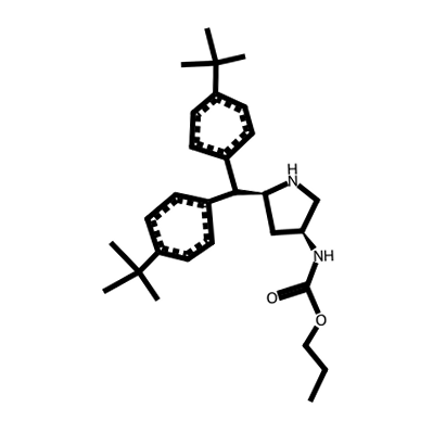 CCCOC(=O)N[C@@H]1CN[C@H](C(c2ccc(C(C)(C)C)cc2)c2ccc(C(C)(C)C)cc2)C1